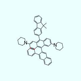 CC1(C)c2ccccc2-c2ccc(-c3c4cc(N5CCCCC5)ccc4c(-c4cc5ccccc5cc4-c4ccccc4)c4cc(N5CCCCC5)ccc34)cc21